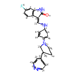 O=C1Nc2cc(F)ccc2C1=CNc1ccc(N2CCC(c3ccncc3)C2)cc1